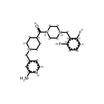 Nc1cc(CN2CCC(C(=O)N3CCN(Cc4c(F)cccc4F)CC3)CC2)ccn1